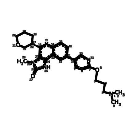 CN(C)CCCOc1ccc(-c2ccc3nc([C@@H]4CCCOC4)c4c([nH]c(=O)n4C)c3c2)cn1